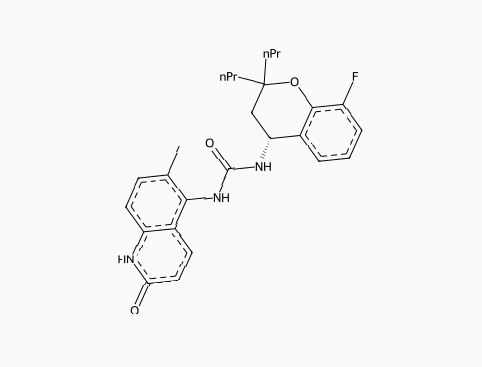 CCCC1(CCC)C[C@@H](NC(=O)Nc2c(C)ccc3[nH]c(=O)ccc23)c2cccc(F)c2O1